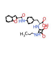 CCCNc1c(N[C@@H](Cc2ccc(NC(=O)c3cc4ccccc4o3)cc2)C(=O)O)c(=O)c1=O